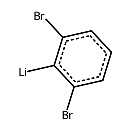 [Li][c]1c(Br)cccc1Br